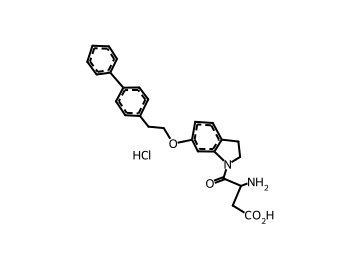 Cl.NC(CC(=O)O)C(=O)N1CCc2ccc(OCCc3ccc(-c4ccccc4)cc3)cc21